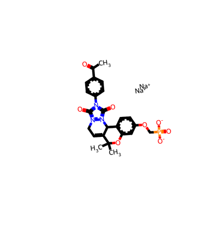 CC(=O)c1ccc(-n2c(=O)n3n(c2=O)C2C(=CC3)C(C)(C)Oc3cc(OCP(=O)([O-])[O-])ccc32)cc1.[Na+].[Na+]